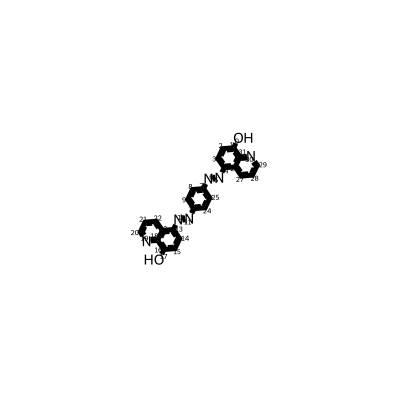 Oc1ccc(N=Nc2ccc(N=Nc3ccc(O)c4ncccc34)cc2)c2cccnc12